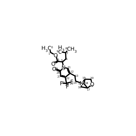 CCOC(=O)C(CC(C)C)n1cc(CCN2CC3CC2CO3)c(C(F)(F)F)cc1=O